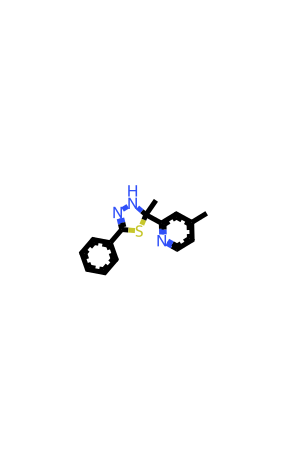 Cc1ccnc(C2(C)NN=C(c3ccccc3)S2)c1